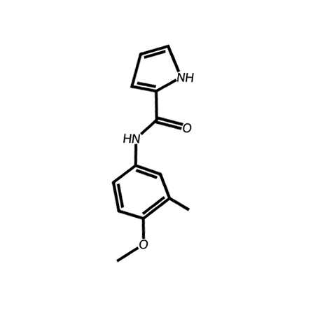 COc1ccc(NC(=O)c2ccc[nH]2)cc1C